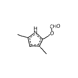 Cc1cc(C)c(OC=O)[nH]1